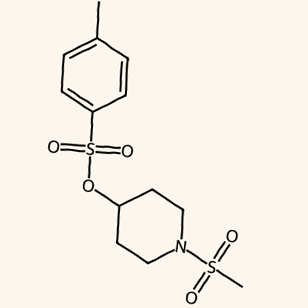 Cc1ccc(S(=O)(=O)OC2CCN(S(C)(=O)=O)CC2)cc1